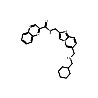 O=C(NCc1cn2cc(CNCC3CCCCC3)ccc2n1)c1cnc2ccccc2n1